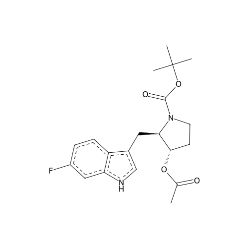 CC(=O)O[C@H]1CCN(C(=O)OC(C)(C)C)[C@@H]1Cc1c[nH]c2cc(F)ccc12